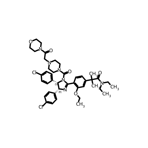 CCOc1cc(C(C)(C)C(=O)N(CC)CC)ccc1C1=N[C@H](c2ccc(Cl)cc2)[C@H](c2ccc(Cl)cc2)N1C(=O)N1CCN(CC(=O)N2CCOCC2)CC1